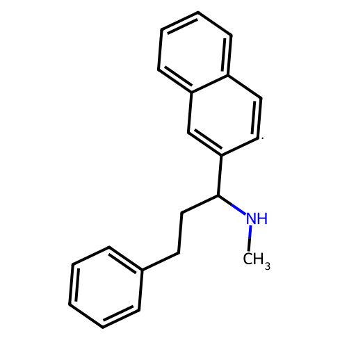 CNC(CCc1ccccc1)c1[c]cc2ccccc2c1